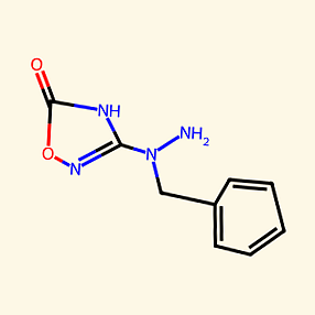 NN(Cc1ccccc1)c1noc(=O)[nH]1